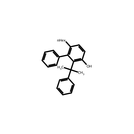 CCCCCCc1ccc(O)c(C(C)(C)c2ccccc2)c1-c1ccccc1